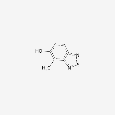 Cc1c(O)ccc2nsnc12